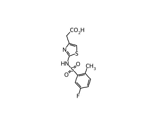 Cc1ccc(F)cc1S(=O)(=O)Nc1nc(CC(=O)O)cs1